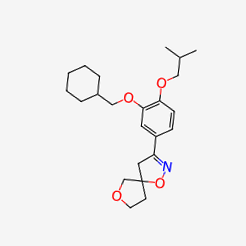 CC(C)COc1ccc(C2=NOC3(CCOC3)C2)cc1OCC1CCCCC1